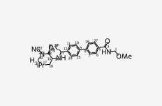 COCNC(=O)c1ccc(-c2ccc(C(NC(CC(C)C)C(=O)N(C)C#N)C(F)(F)F)cc2)cc1